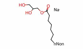 CCCCCCCCCCCCCCCC(=O)OCC(O)CO.[Na]